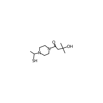 CC(S)N1CCN(C(=O)CC(C)(C)O)CC1